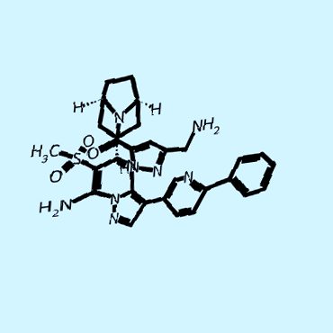 CS(=O)(=O)c1c([C@@H]2C[C@H]3CC[C@@H](C2)N3C(=O)c2cc(CN)n[nH]2)nc2c(-c3ccc(-c4ccccc4)nc3)cnn2c1N